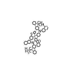 CC1(C)c2ccccc2-c2ccc(N(c3ccc4c(c3)CCC=C4)c3ccc4c(c3)C3(c5ccccc5Sc5ccccc53)c3cc(N(c5ccc6c(c5)C(C)(C)c5ccccc5-6)c5ccc6ccccc6c5)c5c(oc6ccccc65)c3-4)cc21